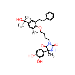 CCCc1cc(C(O)(C(F)(F)F)C(F)(F)F)cc(CCc2ccccc2)c1OCCCCN1C(=O)NC(C)(c2ccc(O)c(O)c2)C1=O